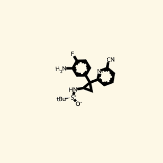 CC(C)(C)[S@@+]([O-])NC1CC1(c1ccc(F)c(N)c1)c1cccc(C#N)n1